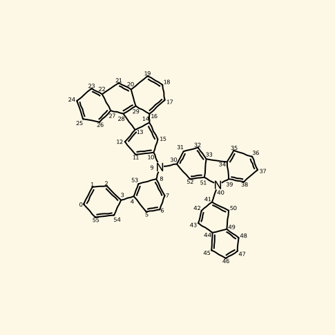 c1ccc(-c2cccc(N(c3ccc4c(c3)-c3cccc5cc6ccccc6c-4c35)c3ccc4c5ccccc5n(-c5ccc6ccccc6c5)c4c3)c2)cc1